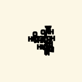 O=C(NC1CC1)C(O)[C@H](C[C@@H]1CCNC1=O)NC(=O)[C@H]1NC[C@H]2[C@@H]1[C@H]1C=C[C@@H]2C1